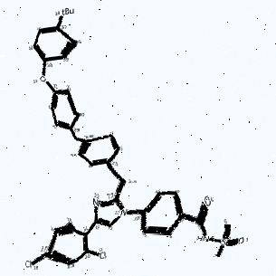 C=S(C)(=O)NC(=O)c1ccc(-n2cc(-c3ccc(Cl)cc3Cl)nc2Cc2ccc(-c3ccc(Oc4ccc(C(C)(C)C)cc4)cc3)cc2)cc1